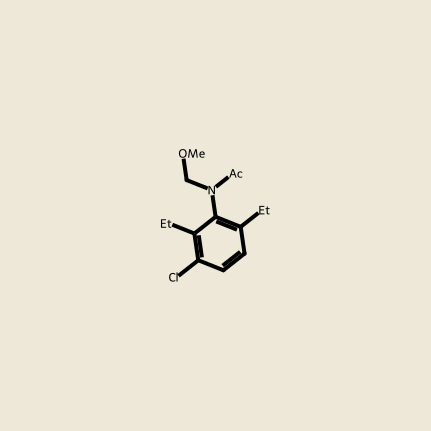 CCc1ccc(Cl)c(CC)c1N(COC)C(C)=O